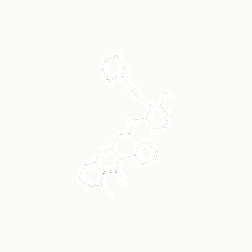 Nc1ncnc(NCCc2nc3cccc(F)c3c(=O)n2-c2ccccc2)c1C#Cc1cnccn1